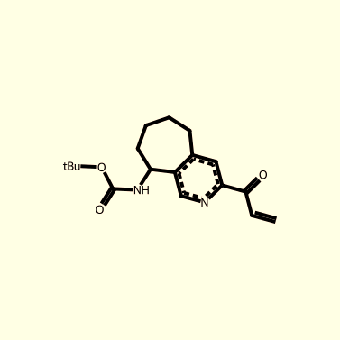 C=CC(=O)c1cc2c(cn1)C(NC(=O)OC(C)(C)C)CCCC2